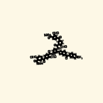 CNC(=O)c1ccc(C(=O)c2ccc(C=O)c(C(=O)Nc3ccc(NC(=O)c4ccc(C(=O)c5ccc(C=O)c(C(=O)NC)c5)cc4C=O)cc3N3Cc4ccc(C(=O)c5ccc6c(c5)CN(C)C6)cc4C3)c2)cc1C=O